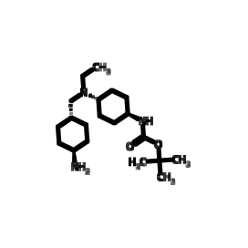 CCN(C[C@H]1CC[C@H](N)CC1)[C@H]1CC[C@H](NC(=O)OC(C)(C)C)CC1